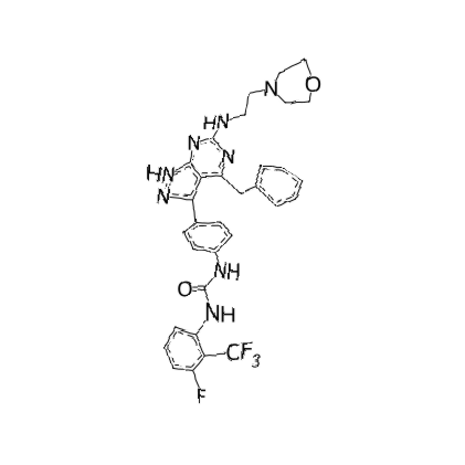 O=C(Nc1ccc(-c2n[nH]c3nc(NCCN4CCOCC4)nc(Cc4ccccc4)c23)cc1)Nc1cccc(F)c1C(F)(F)F